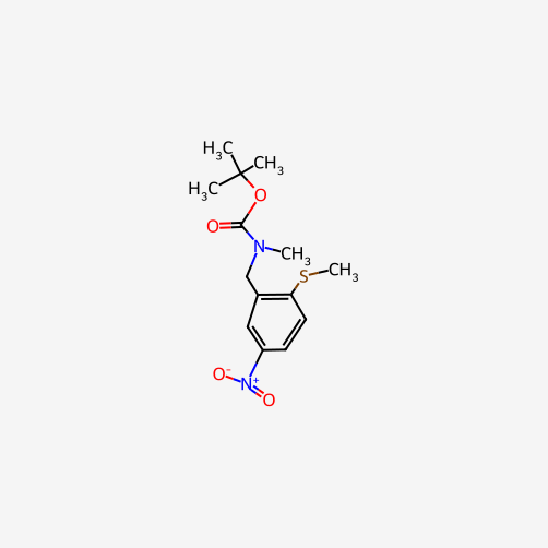 CSc1ccc([N+](=O)[O-])cc1CN(C)C(=O)OC(C)(C)C